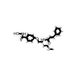 CSCC[C@H](COc1ccc(C(=S)NO)cc1)NC(=O)/C=C/c1ccccc1